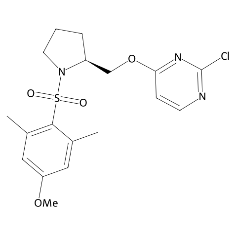 COc1cc(C)c(S(=O)(=O)N2CCC[C@H]2COc2ccnc(Cl)n2)c(C)c1